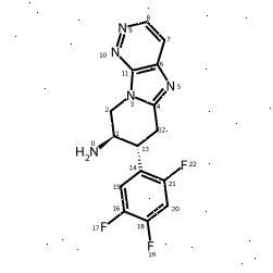 N[C@H]1Cn2c(nc3ccnnc32)C[C@@H]1c1cc(F)c(F)cc1F